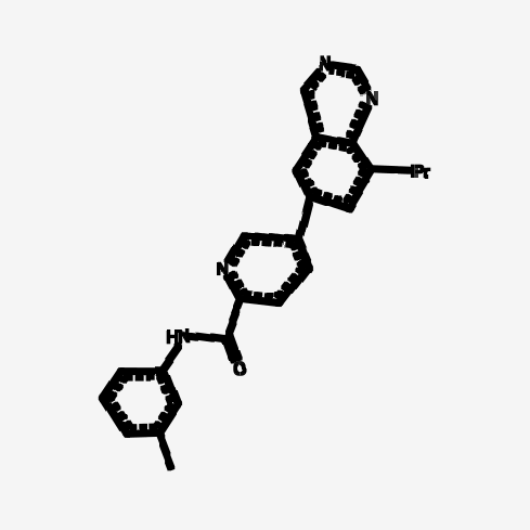 Cc1cccc(NC(=O)c2ccc(-c3cc(C(C)C)c4ncncc4c3)cn2)c1